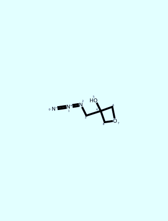 [N-]=[N+]=NCC1(O)COC1